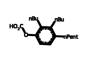 CCCCCc1ccc(OC(=O)O)c(CCCC)c1CCCC